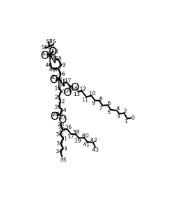 CCCCCCCCCCCCCCOC(=O)CN(CCCCCCC(=O)OCC(CCCCCC)CCCCCCCC)C(=O)CC1CCN(C(=O)OC(C)(C)C)CC1